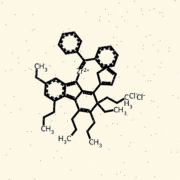 CCCC1=C(CCC)C(CC)(CCC)C(C2=CC=CC2)=C2[C]([Zr+2]=[C](c3ccccc3)c3ccccc3)=c3cc(CC)cc(CCC)c3=C12.[Cl-].[Cl-]